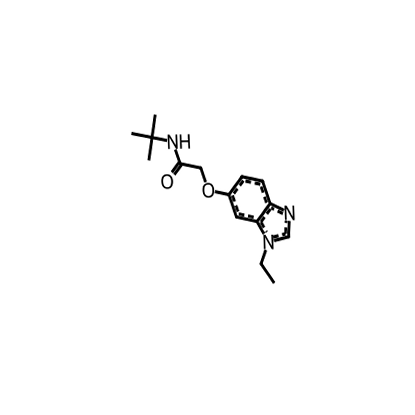 CCn1cnc2ccc(OCC(=O)NC(C)(C)C)cc21